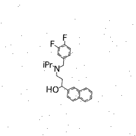 CC(C)N(CCC(O)c1ccc2ccccc2c1)Cc1ccc(F)c(F)c1